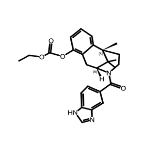 CCOC(=O)Oc1cccc2c1C[C@H]1N(C(=O)c3ccc4[nH]cnc4c3)CC[C@]2(C)C1(C)C